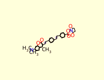 Cc1c(/C=C/c2ccc(/C=C/c3ccc(C(=O)ON4C(=O)CCC4=O)cc3)cc2)c(=O)oc2cc(N(C)C)ccc12